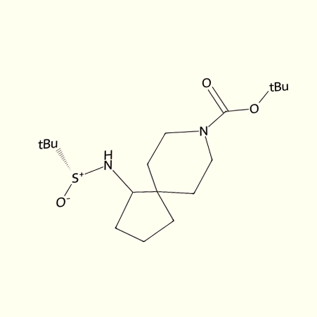 CC(C)(C)OC(=O)N1CCC2(CCCC2N[S@+]([O-])C(C)(C)C)CC1